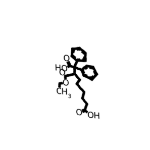 CCOC(=O)C(CCCCCC(=O)O)C(C(=O)O)(c1ccccc1)c1ccccc1